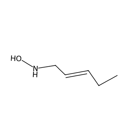 CCC=CCNO